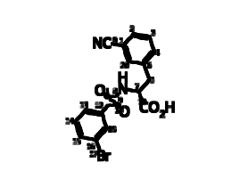 N#Cc1cccc(C[C@H](NS(=O)(=O)c2cccc(Br)c2)C(=O)O)c1